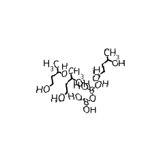 CC(O)CCO.CC(O)CCO.CC(O)CCO.OB(O)OB(O)O